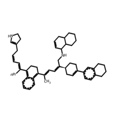 CCC/C(=C\C=C/CC1=CNCC1)C1=c2ccccc2=C(/C(C)=C/C=C(\CNC2C=CCC3CCCCC32)[C@@H]2CC=C(c3ccc4c(c3)CCCC4)CC2)CC1